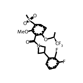 COc1c(S(C)(=O)=O)ccc(O[C@@H](C)C(F)(F)F)c1C(=O)N1CC(c2cccc(F)c2F)C1